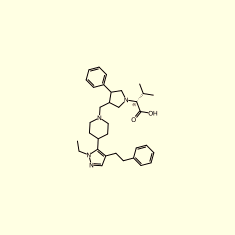 CCn1ncc(CCc2ccccc2)c1C1CCN(CC2CN([C@@H](C(=O)O)C(C)C)CC2c2ccccc2)CC1